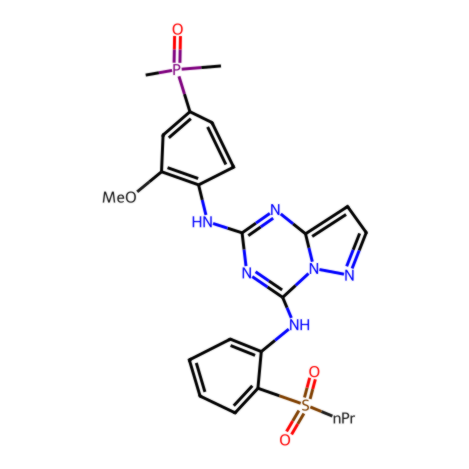 CCCS(=O)(=O)c1ccccc1Nc1nc(Nc2ccc(P(C)(C)=O)cc2OC)nc2ccnn12